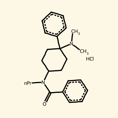 CCCN(C(=O)c1ccccc1)C1CCC(c2ccccc2)(N(C)C)CC1.Cl